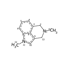 CN1Cc2cccc3c2c(cn3C)C1